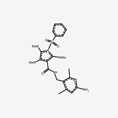 CNc1c(C(=O)NCc2c(C)cc(N)nc2C)c(NC)n(S(=O)(=O)c2ccccc2)c1NC